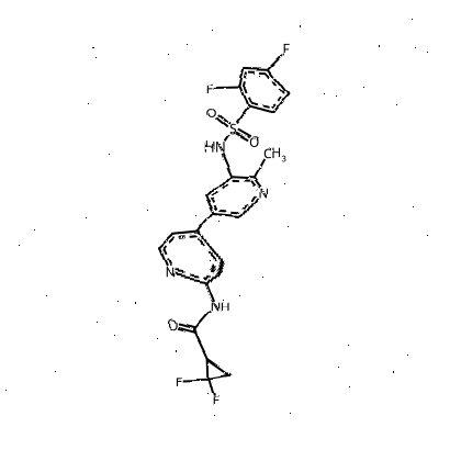 Cc1ncc(-c2ccnc(NC(=O)C3CC3(F)F)c2)cc1NS(=O)(=O)c1ccc(F)cc1F